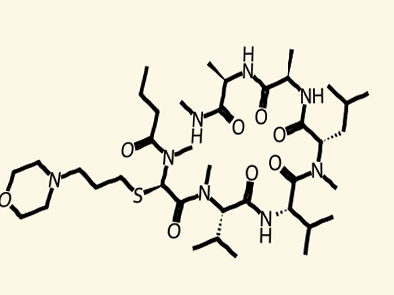 CCCC(=O)N(C)[C@H](SCCCN1CCOCC1)C(=O)N(C)[C@H](C(=O)N[C@H](C(=O)N(C)[C@@H](CC(C)C)C(=O)N[C@H](C)C(=O)N[C@H](C)C(=O)NC)C(C)C)C(C)C